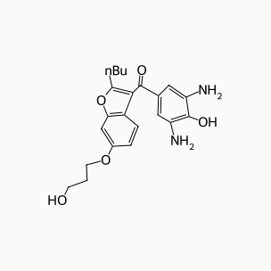 CCCCc1oc2cc(OCCCO)ccc2c1C(=O)c1cc(N)c(O)c(N)c1